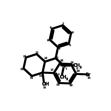 CN(C)C(c1ccccc1)C1CCCCC1(O)c1ccc(Br)cc1